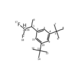 CC(c1cc(C(C)(C)C)cc(C(C)(C)C)c1)[SiH](F)F